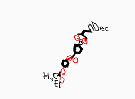 CCCCCCCCCCCCC1COB(c2ccc(C(=O)Oc3ccc(OC[C@H](C)OCC)cc3)cc2)OC1